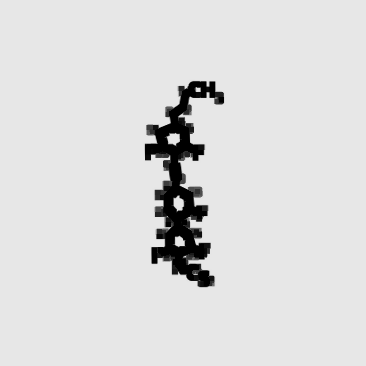 CCCCc1cc(F)c(C#Cc2ccc(-c3cc(F)c(N=C=S)c(F)c3)c(F)c2)c(F)c1